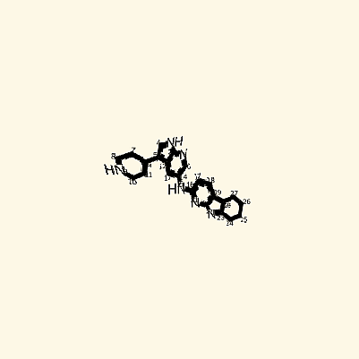 c1nc2[nH]cc(C3CCNCC3)c2cc1Nc1ccc2c(n1)N=C1CCCCC12